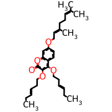 CCC=CCCOc1c(OCCC=CCC)c2ccc(OC/C=C(\C)CCC=C(C)C)cc2oc1=O